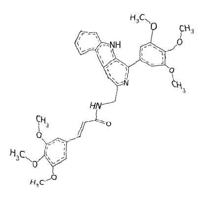 COc1cc(/C=C/C(=O)NCc2cc3c([nH]c4ccccc43)c(-c3cc(OC)c(OC)c(OC)c3)n2)cc(OC)c1OC